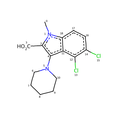 Cn1c(C(=O)O)c(N2CCCCC2)c2c(Cl)c(Cl)ccc21